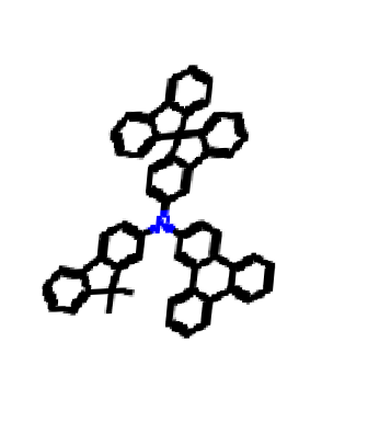 CC1(C)c2ccccc2-c2ccc(N(c3ccc4c(c3)-c3ccccc3C43c4ccccc4-c4ccccc43)c3ccc4c5ccccc5c5ccccc5c4c3)cc21